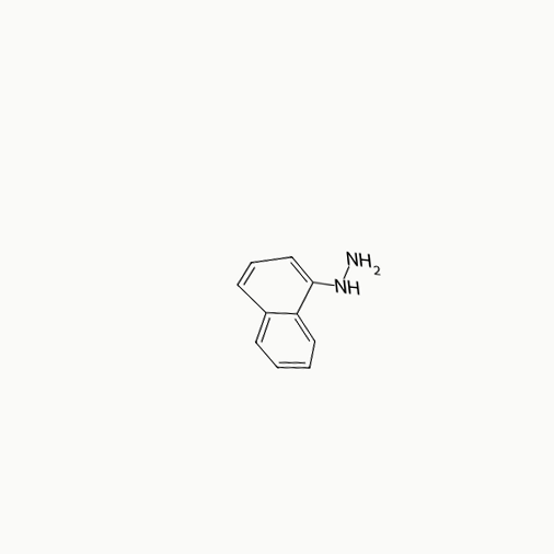 NNc1cccc2ccccc12